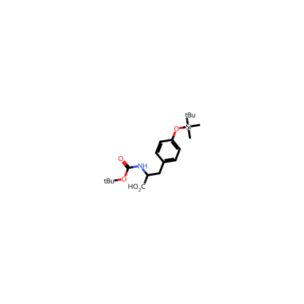 CC(C)(C)OC(=O)NC(Cc1ccc(O[Si](C)(C)C(C)(C)C)cc1)C(=O)O